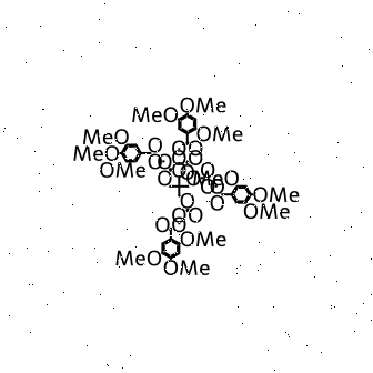 COc1cc(OC)c(C(=O)OOC(=O)OCC(COC(=O)OOC(=O)c2cc(OC)c(OC)cc2OC)(COC(=O)OOC(=O)c2cc(OC)c(OC)cc2OC)COC(=O)OOC(=O)c2cc(OC)c(OC)cc2OC)cc1OC